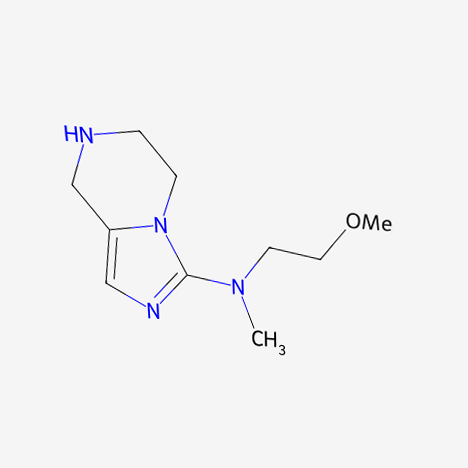 COCCN(C)c1ncc2n1CCNC2